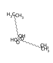 CC(C)CCCCCCCCCCCCCC(CCCCCCCCCCCCCC(C)C)(C(=O)O)C(=O)O